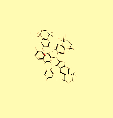 Cc1cc2c3c(c1)N(c1ccc(C(C)(C)C)cc1)c1c(oc4cc5c(cc14)C(C)(C)CCC5(C)C)B3c1cc3c(cc1N2c1cc2c(cc1-c1ccccc1F)C(C)(C)CCC2(C)C)C(C)(C)CCC3(C)C